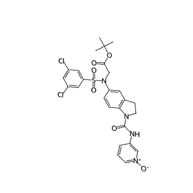 CC(C)(C)OC(=O)CN(c1ccc2c(c1)CCN2C(=O)Nc1ccc[n+]([O-])c1)S(=O)(=O)c1cc(Cl)cc(Cl)c1